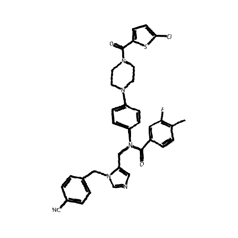 Cc1ccc(C(=O)N(Cc2cncn2Cc2ccc(C#N)cc2)c2ccc(N3CCN(C(=O)c4ccc(Cl)s4)CC3)cc2)cc1F